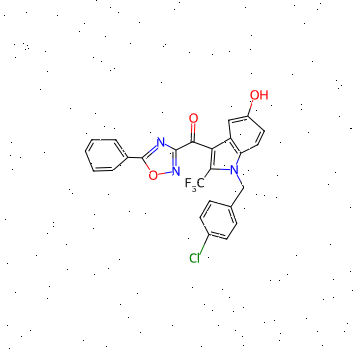 O=C(c1noc(-c2ccccc2)n1)c1c(C(F)(F)F)n(Cc2ccc(Cl)cc2)c2ccc(O)cc12